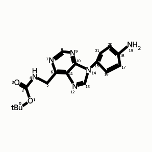 CC(C)(C)OC(=O)NCc1ncnc2c1ncn2-c1ccc(N)cc1